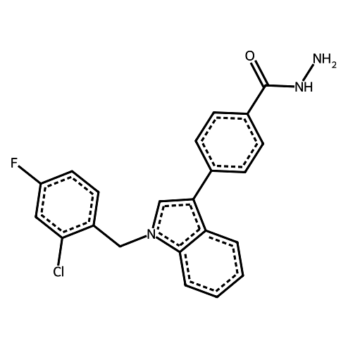 NNC(=O)c1ccc(-c2cn(Cc3ccc(F)cc3Cl)c3ccccc23)cc1